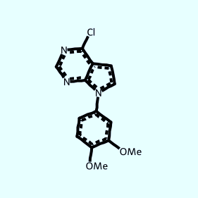 COc1ccc(-n2ccc3c(Cl)ncnc32)cc1OC